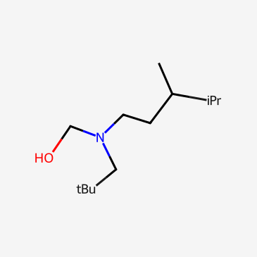 CC(C)C(C)CCN(CO)CC(C)(C)C